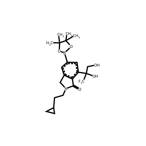 CC1(C)OB(c2cc3c(c(C(O)(CO)C(F)(F)F)c2)C(=O)N(CCC2CC2)C3)OC1(C)C